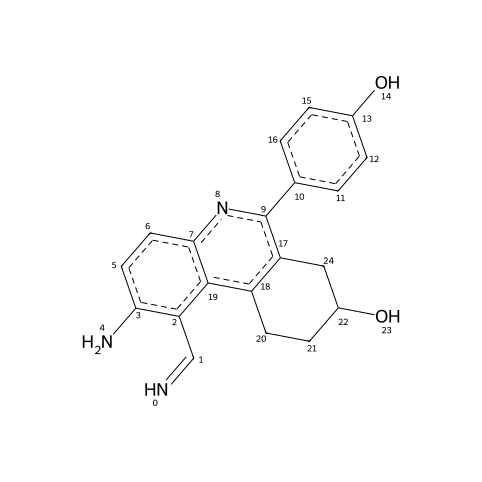 N=Cc1c(N)ccc2nc(-c3ccc(O)cc3)c3c(c12)CCC(O)C3